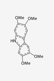 COc1cc2[nH]c3cc(OC)c(OC)cc3c2cc1OC